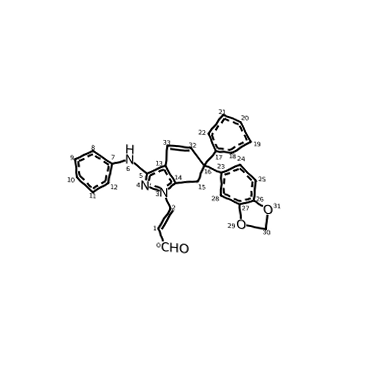 O=CC=Cn1nc(Nc2ccccc2)c2c1CC(c1ccccc1)(c1ccc3c(c1)OCO3)C=C2